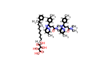 CCCCCCCCCC(C)(C)c1ccccc1.Cc1ccc(-c2nc3ccc(C)cn3c2CC(=O)N(C)C)cc1.Cc1ccc(-c2nc3ccc(C)cn3c2CC(=O)N(C)C)cc1.O=C(O)C(O)C(O)C(=O)O